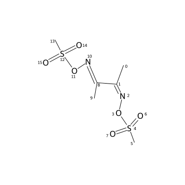 CC(=NOS(C)(=O)=O)C(C)=NOS(C)(=O)=O